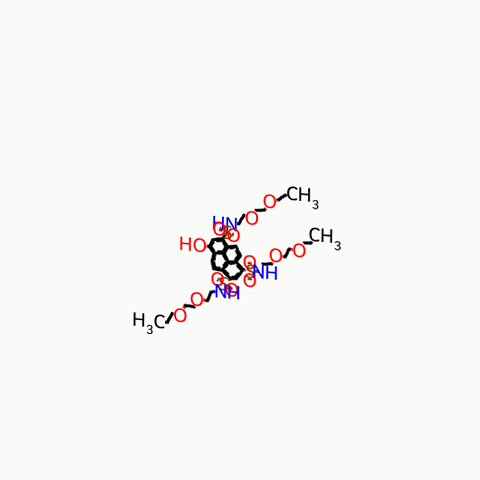 CCCOCCOCCNS(=O)(=O)c1cc(O)c2ccc3c(S(=O)(=O)NCCOCCOCCC)cc(S(=O)(=O)NCCOCCOCCC)c4ccc1c2c34